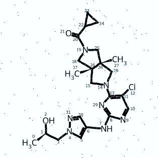 C[C@@H](O)Cn1cc(Nc2ncc(Cl)c(N3C[C@]4(C)CN(C(=O)C5CC5)C[C@]4(C)C3)n2)cn1